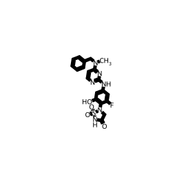 CN(Cc1ccccc1)c1ccnc(Nc2cc(O)c(N3CC(=O)NS3(=O)=O)c(F)c2)n1